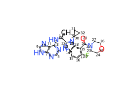 C[C@H](Nc1ncnc2[nH]cnc12)c1nc2ccc(F)c(C(=O)N3CCOCC3)c2n1C1CC1